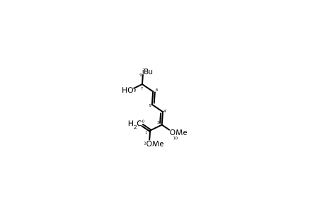 C=C(OC)/C(=C\C=C\C(O)C(C)CC)OC